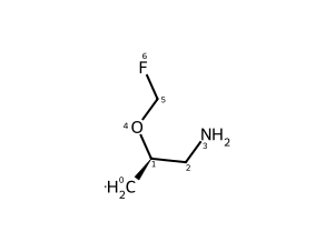 [CH2][C@H](CN)OCF